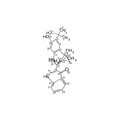 CC(C)(C)c1cc(C(C)(C)C)c(NC(=C2CC2)c2c[nH]c3ccccc3c2=O)cc1O